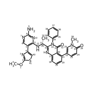 COc1nc(-c2cnc(N)nc2N[C@H](C)c2nc3cccc(-c4ccc(=O)n(C)c4)c3c(=O)n2-c2ccccc2)cs1